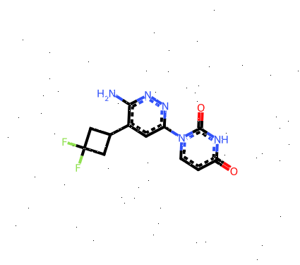 Nc1nnc(-n2ccc(=O)[nH]c2=O)cc1C1CC(F)(F)C1